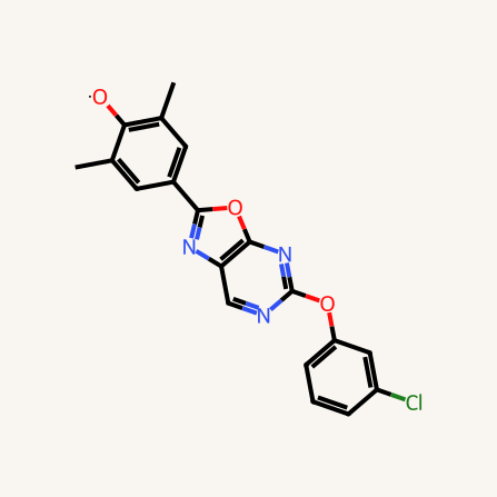 Cc1cc(-c2nc3cnc(Oc4cccc(Cl)c4)nc3o2)cc(C)c1[O]